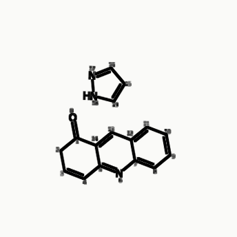 O=C1CC=Cc2nc3ccccc3cc21.c1cn[nH]c1